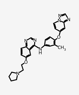 Cc1cc(Nc2ncnc3ccc(OCCN4CCCC4)cc23)ccc1Oc1ccn2ncnc2c1